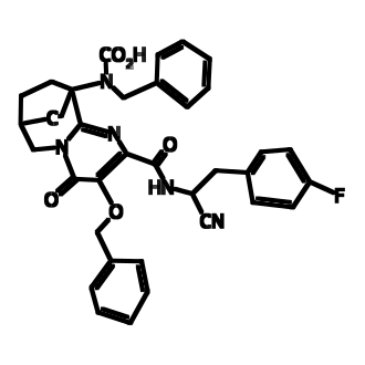 N#CC(Cc1ccc(F)cc1)NC(=O)c1nc2n(c(=O)c1OCc1ccccc1)CC1CCC2(N(Cc2ccccc2)C(=O)O)CC1